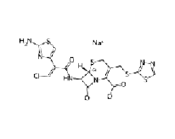 Nc1nc(C(=CCl)C(=O)NC2C(=O)N3C(C(=O)[O-])=C(CSc4nncs4)CS[C@@H]23)cs1.[Na+]